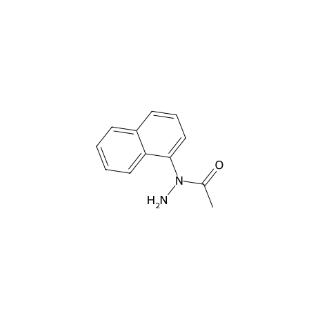 CC(=O)N(N)c1cccc2ccccc12